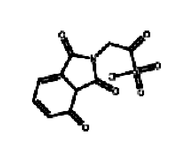 O=C1C=CC=C2C(=O)N(CC(=O)S(=O)(=O)Cl)C(=O)C12